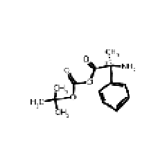 CC(C)(C)OC(=O)OC(=O)[C@@](C)(N)c1ccccc1